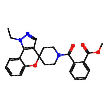 CCn1ncc2c1-c1ccccc1OC21CCN(C(=O)c2ccccc2C(=O)OC)CC1